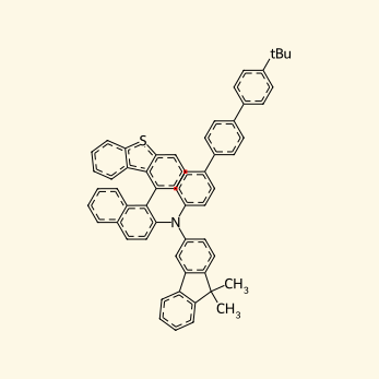 CC(C)(C)c1ccc(-c2ccc(-c3ccc(N(c4ccc5c(c4)-c4ccccc4C5(C)C)c4ccc5ccccc5c4-c4cccc5sc6ccccc6c45)cc3)cc2)cc1